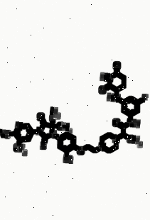 CCc1cc(N2C(=S)N(c3cnc(C#N)c(C(F)(F)F)c3)C(=O)C2(C)C)ccc1OCCN1CCN(C(C)C(=O)Nc2cc(F)cc(NC3CCC(=O)NC3=O)c2)CC1